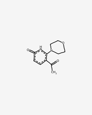 CC(=O)c1ccc(=O)[nH]c1N1CCOCC1